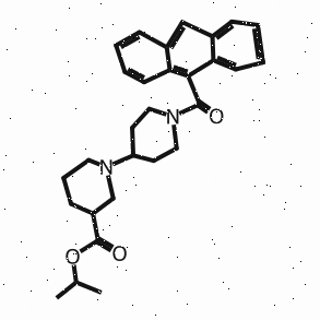 CC(C)OC(=O)C1CCCN(C2CCN(C(=O)c3c4ccccc4cc4ccccc34)CC2)C1